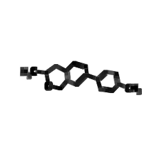 Cc1ccc(-c2ccc3c(c2)COC(C)C3)cc1